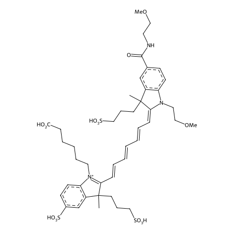 COCCNC(=O)c1ccc2c(c1)C(C)(CCCS(=O)(=O)O)\C(=C/C=C/C=C/C=C/C1=[N+](CCCCCC(=O)O)c3ccc(S(=O)(=O)O)cc3C1(C)CCCS(=O)(=O)O)N2CCOC